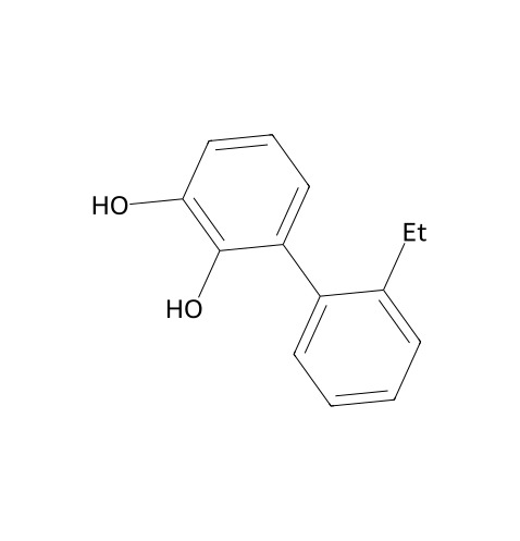 CCc1ccccc1-c1cccc(O)c1O